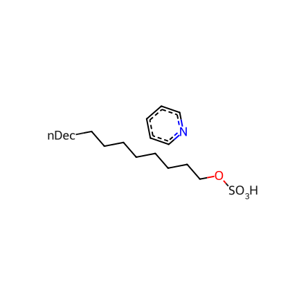 CCCCCCCCCCCCCCCCCCOS(=O)(=O)O.c1ccncc1